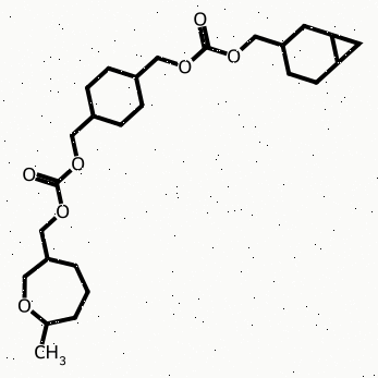 CC1CCCC(COC(=O)OCC2CCC(COC(=O)OCC3CCC4CC4C3)CC2)CO1